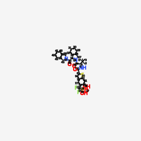 CC(C)(C)[C@H](NC(=O)c1cc2cc(C(F)(F)P(=O)(O)O)ccc2s1)C(=O)N1Cc2ccccc2[C@H]1C(=O)N1Cc2ccccc2C1